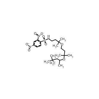 CC(CC(C)(C)C)OC(C)(C)CCOC(C)(C)CCNS(=O)(=O)c1ccc([N+](=O)[O-])cc1[N+](=O)[O-]